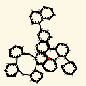 c1ccc(-c2ccccc2-c2c(-c3ccccc3)cccc2N(c2ccc(-c3cccc4ccccc34)cc2)c2ccc3c(c2)Cc2ccccc2-c2ccccc2Cc2ccccc2-3)cc1